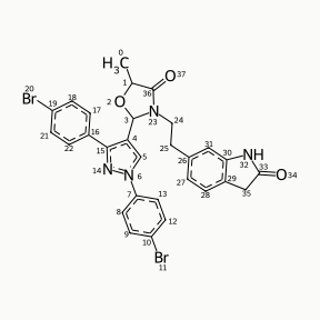 CC1OC(c2cn(-c3ccc(Br)cc3)nc2-c2ccc(Br)cc2)N(CCc2ccc3c(c2)NC(=O)C3)C1=O